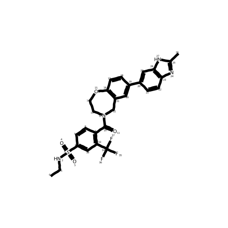 CCNS(=O)(=O)c1ccc(C(=O)N2CCOc3ccc(-c4ccc5nc(C)[nH]c5c4)cc3C2)c(C(F)(F)F)c1